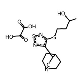 CC(O)CCSc1nsnc1C1CN2CCC1CC2.O=C(O)C(=O)O